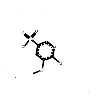 COc1cc(S(=O)(=O)Cl)cnc1Cl